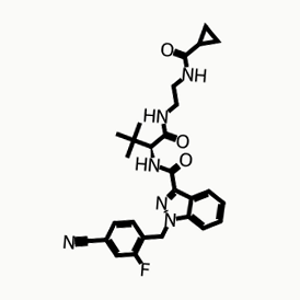 CC(C)(C)[C@H](NC(=O)c1nn(Cc2ccc(C#N)cc2F)c2ccccc12)C(=O)NCCNC(=O)C1CC1